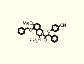 COc1ccc2c(c1OCc1ccccc1)C[C@H](C(=O)O)N(C(=O)[C@H](Oc1ccc(C#N)cc1)c1ccccc1)C2